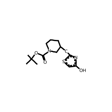 CC(C)(C)OC(=O)N1CCCC(Cc2nc(O)cs2)C1